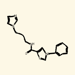 O=C(NCCCn1ccnc1)c1cn(-c2ccccc2)cn1